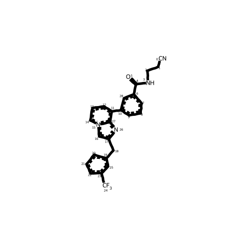 N#CCCNC(=O)c1cccc(-c2cccn3cc(Cc4cccc(C(F)(F)F)c4)nc23)c1